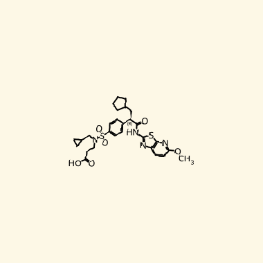 COc1ccc2nc(NC(=O)[C@H](CC3CCCC3)c3ccc(S(=O)(=O)N(CCC(=O)O)CC4CC4)cc3)sc2n1